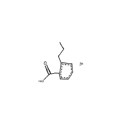 CCCc1ccccc1C(=O)O.[Zn]